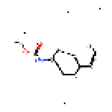 CC(C)/C=C\C1CCC(NC(=O)OC(C)(C)C)CC1